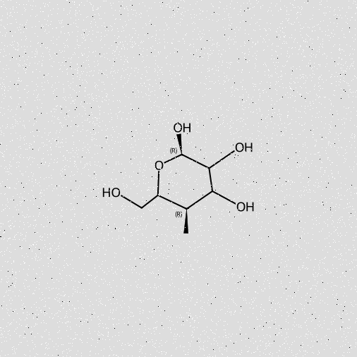 C[C@H]1C(CO)O[C@@H](O)C(O)C1O